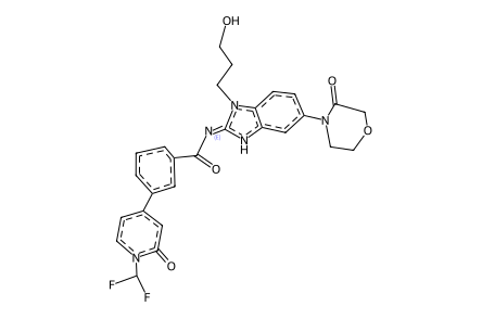 O=C(/N=c1\[nH]c2cc(N3CCOCC3=O)ccc2n1CCCO)c1cccc(-c2ccn(C(F)F)c(=O)c2)c1